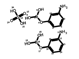 Nc1cccc(OB(O)O)c1.Nc1cccc(OB(O)O)c1.O=S(=O)(O)O